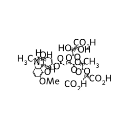 COc1ccc2c3c1O[C@@H]1C(OC(=O)C[C@H](OC(=O)[C@H](O)[C@@H](O)C(=O)O)C(=O)O[C@@H](C)C(=O)O[C@H](CC(=O)O)C(=O)O)=CC[C@]4(O)[C@H](C2)N(C)CC[C@@]314